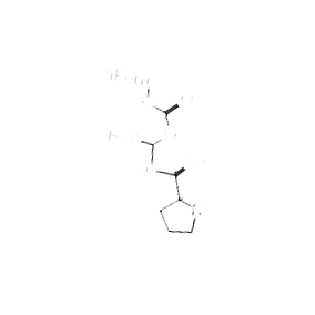 CCCCCOC(=O)OC(C)OC(=O)C1CCCN1